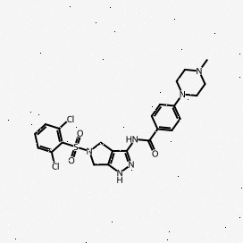 CN1CCN(c2ccc(C(=O)Nc3n[nH]c4c3CN(S(=O)(=O)c3c(Cl)cccc3Cl)C4)cc2)CC1